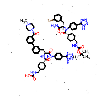 CC(C)(C)OC(=O)NC[C@H]1CC[C@H](C(=O)N(c2ccc(-c3nnn[nH]3)cc2)[C@@H](Cc2cccc(Br)c2)C(N)=O)CC1.CN1CCN(C(=O)c2cccc(-c3cccc(C[C@H](NC(=O)[C@H]4CC[C@H](CNC(=O)O)CC4)C(=O)Nc4ccc(-c5nnn[nH]5)cc4)c3)c2)CC1